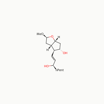 CCCCC[C@@H](O)/C=C/[C@H]1[C@@H]2C[C@@H](OC)O[C@@H]2C[C@@H]1O